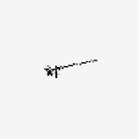 CCCCCCCCCCCCCCCC/C=C/NCCC[Si](OCC)(OCC)OCC